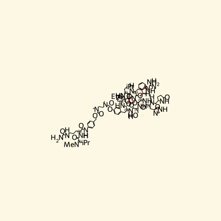 CCOC(=O)[C@@H]1CCCN1C(=O)[C@H](CCCNC(=N)N)NC(=O)[C@H](CC(C)C)NC(=O)[C@H](CC(C)C)NC(=O)[C@H](Cc1ccc(OC(=O)N(C)CCN(C)C(=O)OCc2ccc(NC(=O)[C@H](CCCNC(N)=O)NC(=O)[C@@H](NC)C(C)C)cc2)cc1)NC(=O)[C@H](CO)NC(=O)[C@H](Cc1c[nH]c2ccccc12)NC(=O)[C@H](Cc1c[nH]cn1)NC(=O)C1CCC(=O)N1